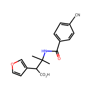 CC(C)(NC(=O)c1ccc(C#N)cc1)C(C(=O)O)c1ccoc1